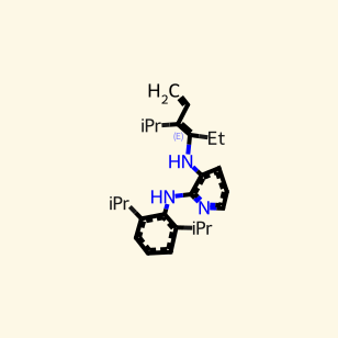 C=C/C(=C(\CC)Nc1cccnc1Nc1c(C(C)C)cccc1C(C)C)C(C)C